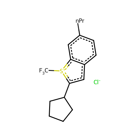 CCCc1ccc2cc(C3CCCC3)[s+](C(F)(F)F)c2c1.[Cl-]